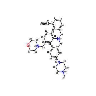 COc1cccc(CN(Cc2cccc(N3CCN(C)CC3)c2)c2cccc(CN3CCOCC3)c2)c1